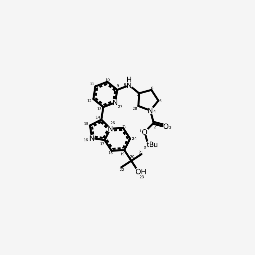 CC(C)(C)OC(=O)N1CCC(Nc2cccc(-c3cnc4cc(C(C)(C)O)ccn34)n2)C1